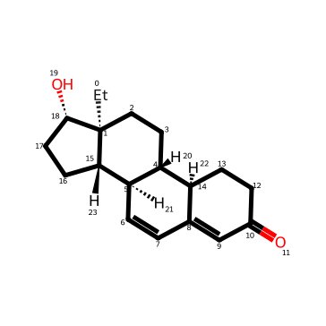 CC[C@]12CC[C@H]3[C@@H](C=CC4=CC(=O)CC[C@@H]43)[C@@H]1CC[C@@H]2O